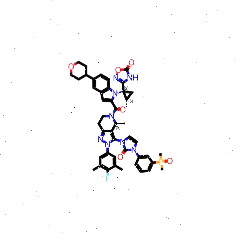 Cc1cc(-n2nc3c(c2-n2ccn(-c4cccc(P(C)(C)=O)c4)c2=O)[C@H](C)N(C(=O)c2cc4cc(C5CCOCC5)ccc4n2[C@@]2(c4noc(=O)[nH]4)C[C@@H]2C)CC3)cc(C)c1F